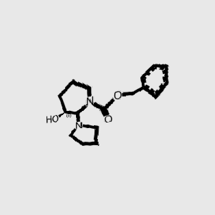 O=C(OCc1ccccc1)N1CCC[C@H](O)C1N1CCCC1